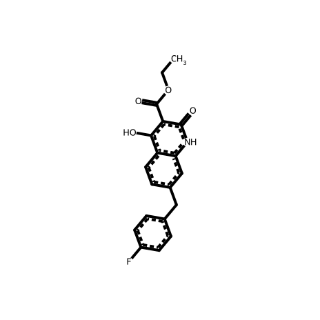 CCOC(=O)c1c(O)c2ccc(Cc3ccc(F)cc3)cc2[nH]c1=O